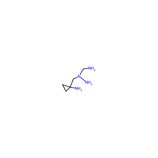 NCN(N)CC1(N)CC1